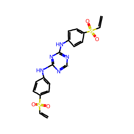 C=CS(=O)(=O)c1ccc(Nc2n[c]nc(Nc3ccc(S(=O)(=O)C=C)cc3)n2)cc1